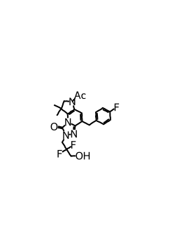 CC(=O)N1CC(C)(C)c2c1cc(Cc1ccc(F)cc1)c1nn(CC(F)(F)CO)c(=O)n21